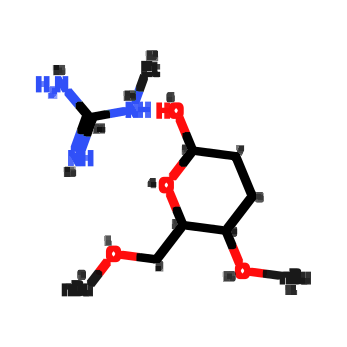 CCCCOCC1OC(O)CCC1OCCCC.CCNC(=N)N